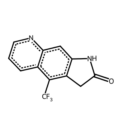 O=C1Cc2c(cc3ncccc3c2C(F)(F)F)N1